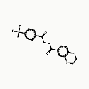 O=C(CCC(=O)c1ccc2c(c1)SCCS2)c1ccc(C(F)(F)F)cc1